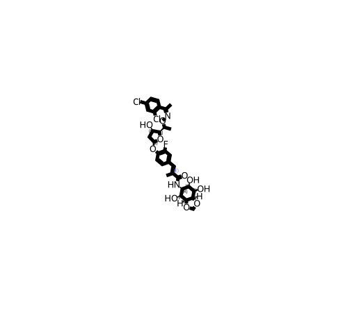 CC(=NOC(C)[C@H]1O[C@@H](Oc2ccc(/C=C(\C)C(=O)N[C@@H]3[C@H](O)[C@@H](O)[C@H]4OCO[C@H]4[C@@H]3O)cc2F)C[C@@H]1O)c1ccc(Cl)cc1Cl